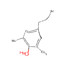 CC(=O)CCc1cc(C)c(O)c(C(C)(C)C)c1